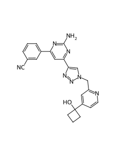 N#Cc1cccc(-c2cc(-c3cn(Cc4cc(C5(O)CCC5)ccn4)nn3)nc(N)n2)c1